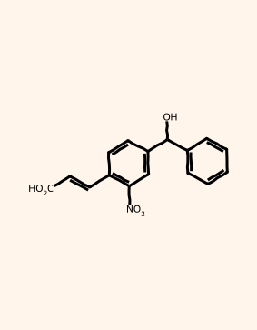 O=C(O)C=Cc1ccc(C(O)c2ccccc2)cc1[N+](=O)[O-]